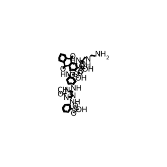 COc1nc(Nc2ccc(Nc3c4c(c(NC(=O)CNCCN)c(S(=O)(=O)O)c3S(=O)(=O)O)C(=O)c3ccccc3C4=O)cc2)nc(Nc2ccccc2S(=O)(=O)O)n1